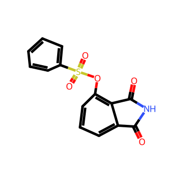 O=C1NC(=O)c2c(OS(=O)(=O)c3ccccc3)cccc21